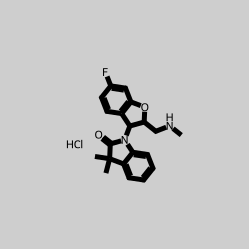 CNCC1Oc2cc(F)ccc2C1N1C(=O)C(C)(C)c2ccccc21.Cl